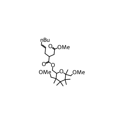 CCCCC=CCC(CC(=O)OC)C(=O)OCC1OC(C)(COC)C(C)(C)C(C)(C)C1(C)COC